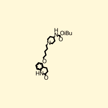 CC(C)COC(=O)NC1CCN(CCCCCOc2cccc3c2CCC(=O)N3)CC1